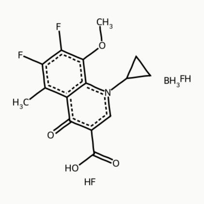 B.COc1c(F)c(F)c(C)c2c(=O)c(C(=O)O)cn(C3CC3)c12.F.F